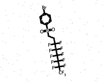 O=S(=O)(CCC(F)(F)C(F)(F)C(F)(F)C(F)(F)C(F)(F)C(F)(F)F)c1ccc(Br)cc1